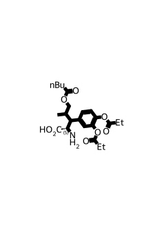 CCCCC(=O)OCC(C)C(c1ccc(OC(=O)CC)c(OC(=O)CC)c1)[C@H](N)C(=O)O